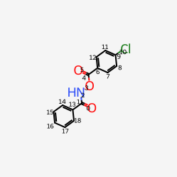 O=C(NOC(=O)c1ccc(Cl)cc1)c1ccccc1